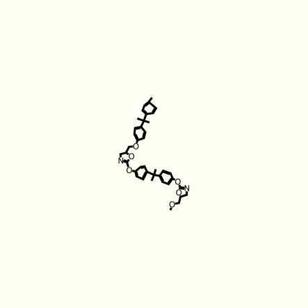 COCC1CN=C(Oc2ccc(C(C)(C)c3ccc(OC4=NCC(COc5ccc(C(C)(C)c6ccc(C)cc6)cc5)O4)cc3)cc2)O1